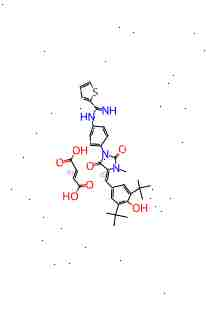 CN1C(=O)N(c2ccc(NC(=N)c3cccs3)cc2)C(=O)/C1=C/c1cc(C(C)(C)C)c(O)c(C(C)(C)C)c1.O=C(O)/C=C/C(=O)O